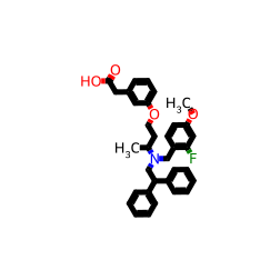 COc1ccc(CN(CC(c2ccccc2)c2ccccc2)C(C)CCOc2cccc(CC(=O)O)c2)c(F)c1